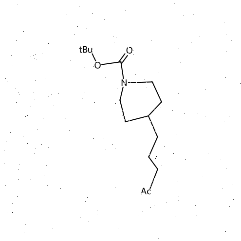 CC(=O)CCCC1CCN(C(=O)OC(C)(C)C)CC1